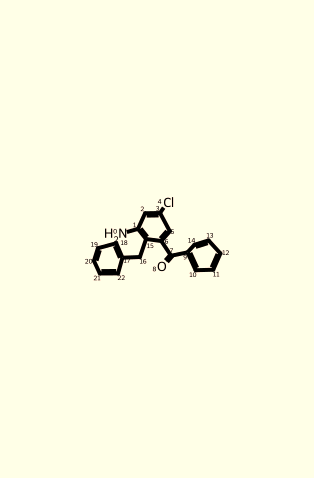 Nc1cc(Cl)cc(C(=O)c2ccccc2)c1Cc1ccccc1